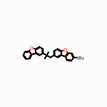 CC(C)(C)c1ccc2c(c1)oc1ccc(CC(C)(C)c3ccc4oc5ccccc5c4c3)cc12